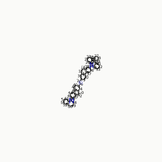 CC1(C)c2cc(/C=C/c3ccc4c(ccc5cc(N6c7ccccc7[Si]7(CCCC7)c7ccccc76)ccc54)c3)ccc2-c2ccc(N3CCCc4ccccc43)cc21